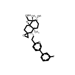 COC[C@@]1(C)[C@H]2CCC3(CO3)[C@@H](CCc3ccc(-c4cccc(F)c4)cn3)[C@]2(C)CC[C@H]1O